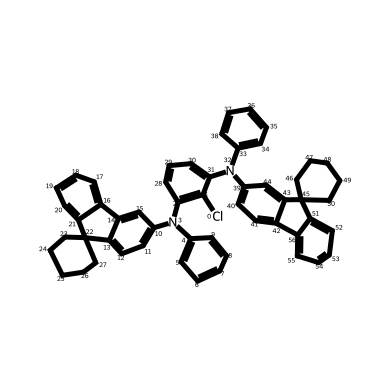 Clc1c(N(c2ccccc2)c2ccc3c(c2)-c2ccccc2C32CCCCC2)cccc1N(c1ccccc1)c1ccc2c(c1)C1(CCCCC1)c1ccccc1-2